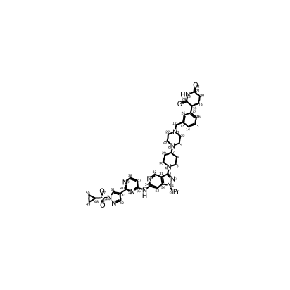 CC(C)n1nc(N2CCC(N3CCN(Cc4cccc(C5CCC(=O)NC5=O)c4)CC3)CC2)c2cnc(Nc3ccnc(-c4cnn(S(=O)(=O)C5CC5)c4)n3)cc21